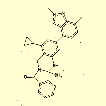 BC12Bc3cc(-c4ccc(C)c5nn(C)cc45)cc(C4CC4)c3CN1C(=O)c1cccnc12